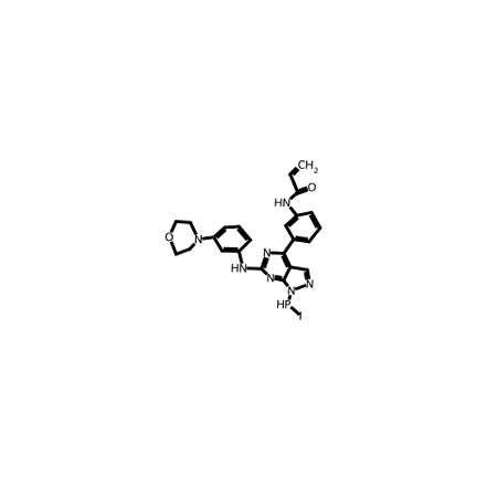 C=CC(=O)Nc1cccc(-c2nc(Nc3cccc(N4CCOCC4)c3)nc3c2cnn3PI)c1